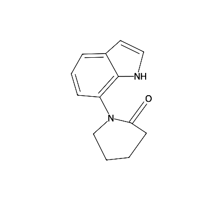 O=C1CCCCN1c1cccc2cc[nH]c12